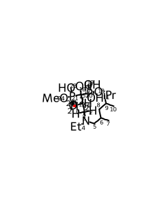 [2H]C([2H])(N(CC)CC(C)CC(C)C(C)C)C([2H])([2H])C(O)(P(=O)(O)O)P(=O)(O)OC